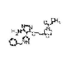 C=CC(=O)N1CCO[C@@H](CCOc2ncnc(N)c2-c2cnn(Cc3ccccc3)c2)C1